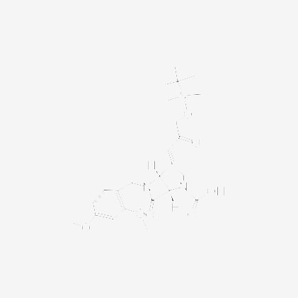 COc1ccc(CN2C(=O)[C@@H]3[C@H]2C(=CC(=O)CO[Si](C)(C)C(C)(C)C)CN3C(=O)O)c(OC)c1